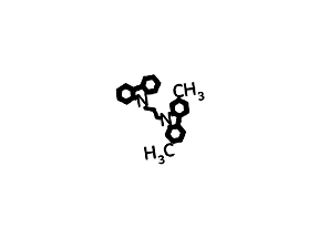 Cc1ccc2c3ccc(C)cc3n(CCCn3c4ccccc4c4ccccc43)c2c1